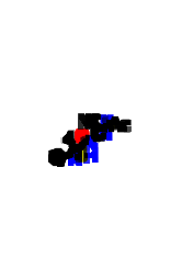 CC(=O)N(C)c1ncc(NC(=O)c2snc(-c3ccccc3)c2C2CC2)cc1C#N